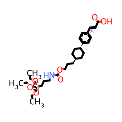 CCO[Si](CCCNC(=O)OCCC[C@H]1CC[C@H](c2ccc(/C=C/C(=O)O)cc2)CC1)(OCC)OCC